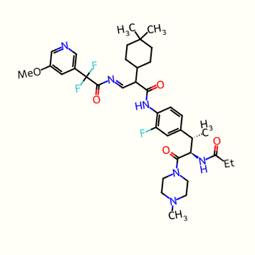 CCC(=O)N[C@@H](C(=O)N1CCN(C)CC1)[C@@H](C)c1ccc(NC(=O)C(C=NC(=O)C(F)(F)c2cncc(OC)c2)C2CCC(C)(C)CC2)c(F)c1